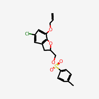 C=CCOc1cc(Cl)cc2c1OC(COS(=O)(=O)c1ccc(C)cc1)C2